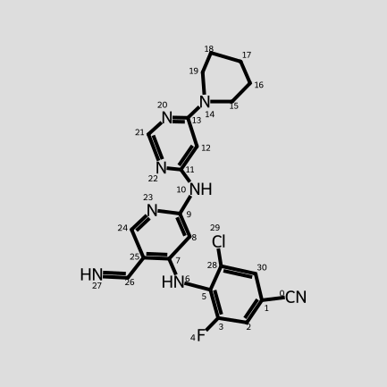 N#Cc1cc(F)c(Nc2cc(Nc3cc(N4CCCCC4)ncn3)ncc2C=N)c(Cl)c1